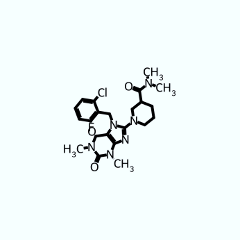 CN(C)C(=O)C1CCCN(c2nc3c(c(=O)n(C)c(=O)n3C)n2Cc2c(F)cccc2Cl)C1